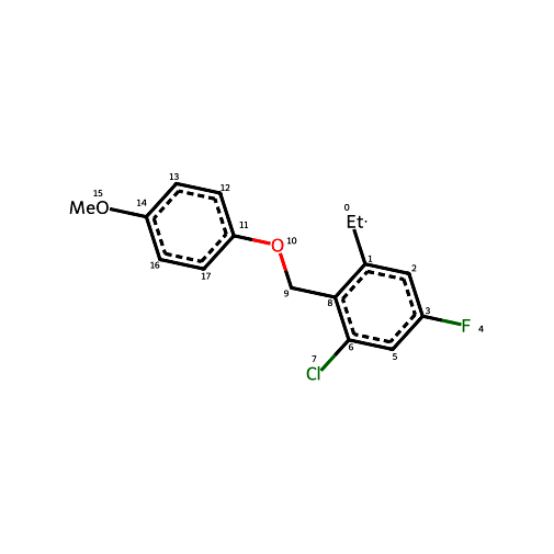 C[CH]c1cc(F)cc(Cl)c1COc1ccc(OC)cc1